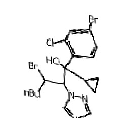 CCCCC(Br)C(n1cncn1)C(O)(c1ccc(Br)cc1Cl)C1CC1